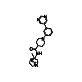 CC1(NC(=O)C2CCN(c3cccc(-c4cncnc4)c3)CC2)CCN2CCC1CC2